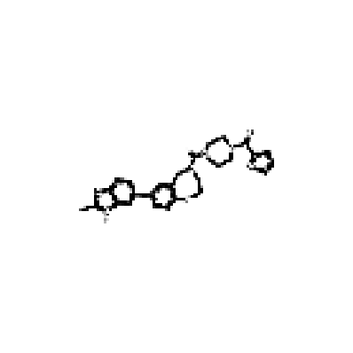 Cc1nc2ccc(-c3ccc4c(c3)CN(C(=O)N3CCN(C(=O)c5ccco5)CC3)CCO4)cc2[nH]1